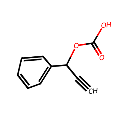 C#CC(OC(=O)O)c1ccccc1